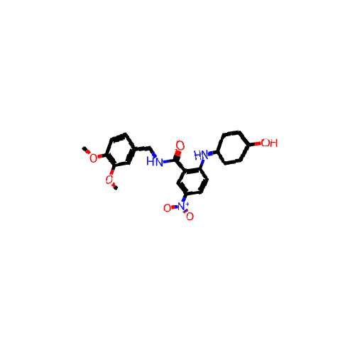 COc1ccc(CNC(=O)c2cc([N+](=O)[O-])ccc2NC2CCC(O)CC2)cc1OC